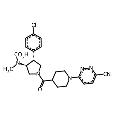 CN(C(=O)O)[C@@H]1CN(C(=O)C2CCN(c3ccc(C#N)nn3)CC2)C[C@H]1c1ccc(Cl)cc1